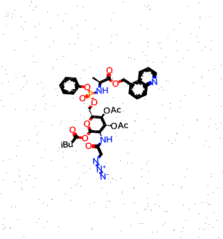 CCC(C)C(=O)OC1O[C@H](COP(=O)(N[C@@H](C)C(=O)OCc2cccc3ncccc23)Oc2ccccc2)[C@@H](OC(C)=O)[C@H](OC(C)=O)[C@@H]1NC(=O)CN=[N+]=[N-]